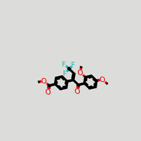 COC(=O)c1ccc(/C(=C\C(F)(F)F)C(=O)c2ccc(OC)cc2OC)cc1